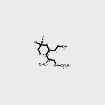 CCOC(=O)NC[C@@H](C=O)[C@@H]1CCC(F)(F)C[C@H]1CCO